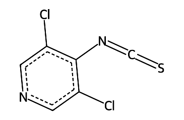 S=C=Nc1c(Cl)cncc1Cl